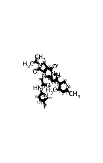 Cc1cc(C)c(-c2cc3n(CC(=O)Nc4ccc(F)cn4)c4c(c(=O)n3n2)CN(C(C)C)C4=O)cn1